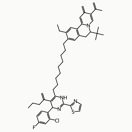 C=C(C)C1=CN2C(=CC1=C)c1cc(CC)c(CCCCCCCCCC3=C(C(=C)CCC)C(c4ccc(F)cc4Cl)N=C(c4nccs4)N3)cc1CC2C(C)(C)C